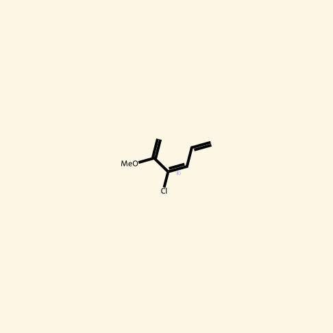 C=C/C=C(/Cl)C(=C)OC